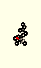 c1cc(-n2c3ccccc3c3c4ccccc4ccc32)c2cc3c4ccccc4n(-c4nc5ccccc5nc4-c4cc5ccccc5c5ccccc45)c3cc2c1